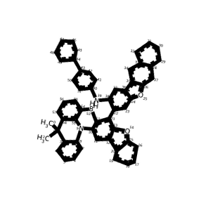 CC1(C)c2ccccc2N2c3cc4c(oc5ccccc54)c(-c4cc5oc6cc7ccccc7cc6c5cc4Nc4ccc(-c5ccccc5)cc4)c3Bc3cccc1c32